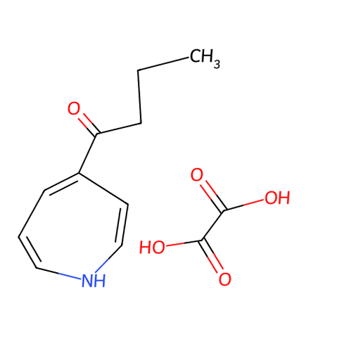 CCCC(=O)C1=CC=CNC=C1.O=C(O)C(=O)O